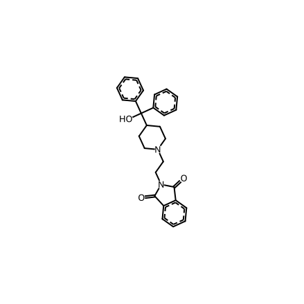 O=C1c2ccccc2C(=O)N1CCN1CCC(C(O)(c2ccccc2)c2ccccc2)CC1